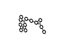 c1ccc(-c2ccc(-n3c4ccccc4c4cc(-c5ccc(-c6cccc(N(c7ccc8c(c7)C7(c9ccccc9-c9ccccc97)c7ccccc7-8)c7cccc8ccccc78)c6)cc5)ccc43)cc2)cc1